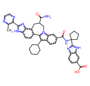 Cc1nccnc1-c1nc2c3c(ccc2[nH]1)-c1c(C2CCCCC2)c2ccc(C(=O)NC4(c5nc6ccc(C(=O)O)cc6[nH]5)CCCC4)cc2n1CC(C(N)=O)C3